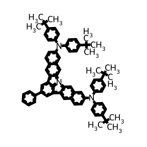 CC(C)(C)c1ccc(N(c2ccc(C(C)(C)C)cc2)c2ccc3cc4c5cc(-c6ccccc6)cc6c7cc8ccc(N(c9ccc(C(C)(C)C)cc9)c9ccc(C(C)(C)C)cc9)cc8cc7n(c4cc3c2)c56)cc1